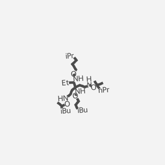 CCCC(C)(C)ONCCC(CCNOC(C)C(C)CC)(NOCCC(C)CC)[C](CC)NOCCCC(C)C